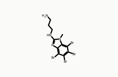 Cn1c(NCCCN)nc2c(Br)c(Br)c(Br)c(Br)c21